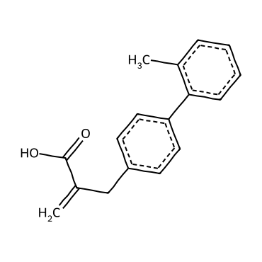 C=C(Cc1ccc(-c2ccccc2C)cc1)C(=O)O